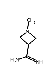 CN1CC(C(=N)N)C1